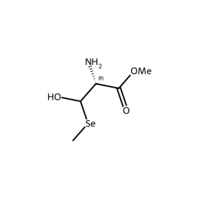 COC(=O)[C@@H](N)C(O)[Se]C